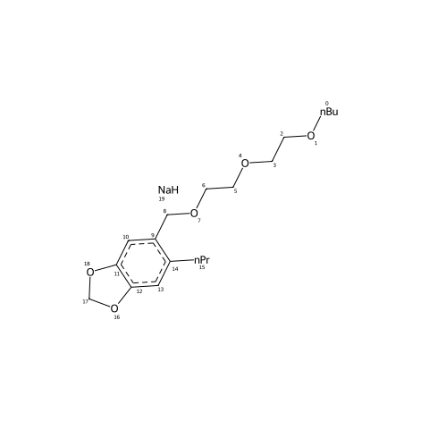 CCCCOCCOCCOCc1cc2c(cc1CCC)OCO2.[NaH]